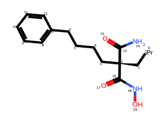 CC(C)C[C@@](CCCCc1ccccc1)(C(N)=O)C(=O)NO